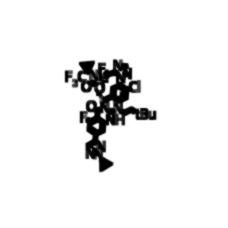 CC(C)(C)CCNC(=N)N(C(=O)c1ccc(-c2cnn(C3CC3)n2)cc1F)[C@H](COC(=O)NC1(C(F)(F)F)CC1)c1ccc(Cl)c(-n2ncnc2C(F)F)c1